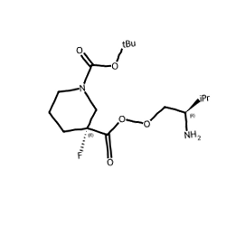 CC(C)[C@@H](N)COOC(=O)[C@@]1(F)CCCN(C(=O)OC(C)(C)C)C1